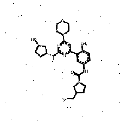 Cc1ccc(NC(=O)N2CCC(CC(F)(F)F)C2)cc1-c1cc(N2CCOCC2)nc(N[C@@H]2CC[C@@H](O)C2)n1